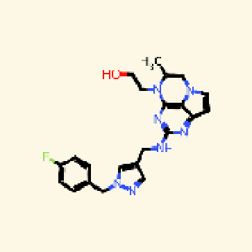 CC1Cn2ccc3nc(NCc4cnn(Cc5ccc(F)cc5)c4)nc(c32)N1CCO